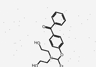 CCC(Oc1ccc(C(=O)c2ccccc2)cc1)N(CCO)CCO